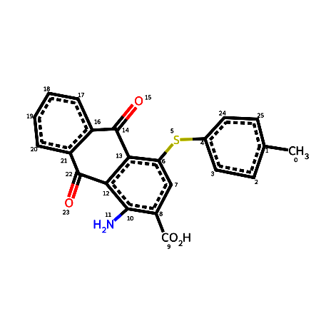 Cc1ccc(Sc2cc(C(=O)O)c(N)c3c2C(=O)c2ccccc2C3=O)cc1